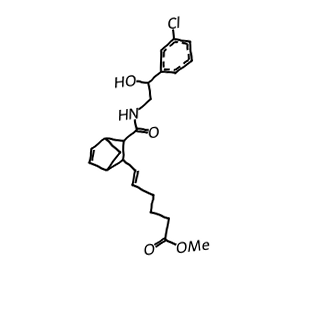 COC(=O)CCCC=CC1C2C=CC(C2)C1C(=O)NCC(O)c1cccc(Cl)c1